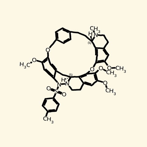 COc1cc2c3cc1Oc1ccc(cc1)CC[C@H]1c4cc(c(OC)cc4CCN1C)Oc1c(OC)c(OC)cc4c1[C@H](C3)N(CC4)N2S(=O)(=O)c1ccc(C)cc1